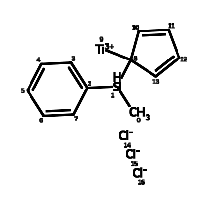 C[SiH](c1ccccc1)[C]1([Ti+3])C=CC=C1.[Cl-].[Cl-].[Cl-]